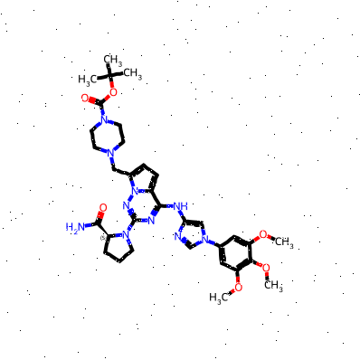 COc1cc(-n2cnc(Nc3nc(N4CCC[C@H]4C(N)=O)nn4c(CN5CCN(C(=O)OC(C)(C)C)CC5)ccc34)c2)cc(OC)c1OC